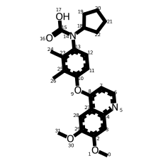 COc1cc2nccc(Oc3ccc(N(C(=O)O)C4CCCC4)c(C)c3C)c2cc1OC